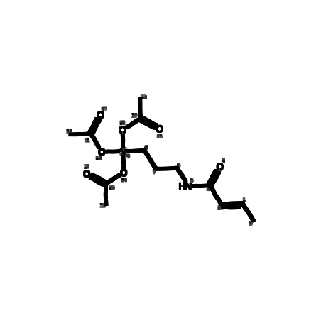 CC=CC(=O)NCCC[Si](OC(C)=O)(OC(C)=O)OC(C)=O